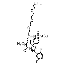 CN(CCOCCOCCOCCOCCC=O)C(=O)N1N=C(c2cc(F)ccc2F)SC1(CCCNC(=O)OC(C)(C)C)c1ccccc1